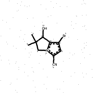 CC1(C)Cn2c(C#N)cc(Br)c2C1O